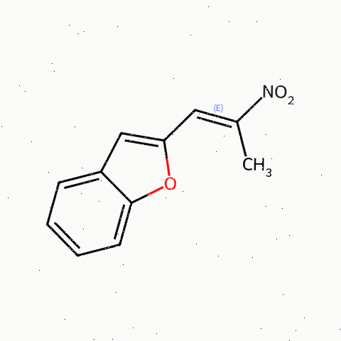 C/C(=C\c1cc2ccccc2o1)[N+](=O)[O-]